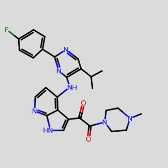 CC(C)c1cnc(-c2ccc(F)cc2)nc1Nc1ccnc2[nH]cc(C(=O)C(=O)N3CCN(C)CC3)c12